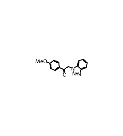 COc1ccc(C(=O)Cn2nnc3ccccc32)cc1